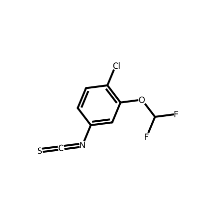 FC(F)Oc1cc(N=C=S)ccc1Cl